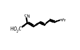 CCC/C=C/C=C/C=C(\C#N)C(=O)O